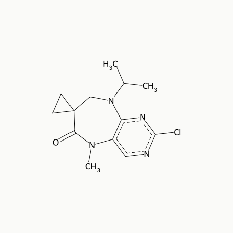 CC(C)N1CC2(CC2)C(=O)N(C)c2cnc(Cl)nc21